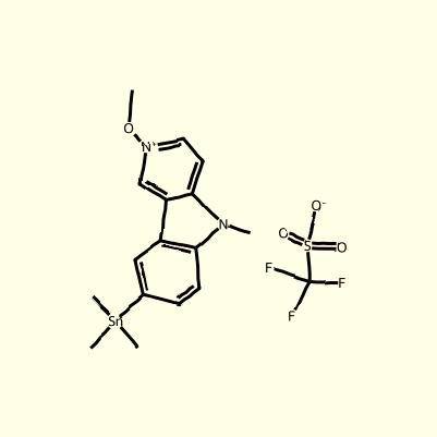 CO[n+]1ccc2c(c1)c1c[c]([Sn]([CH3])([CH3])[CH3])ccc1n2C.O=S(=O)([O-])C(F)(F)F